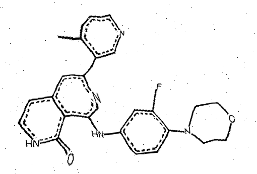 Cc1ccncc1-c1cc2cc[nH]c(=O)c2c(Nc2ccc(N3CCOCC3)c(F)c2)n1